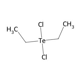 CC[Te](Cl)(Cl)CC